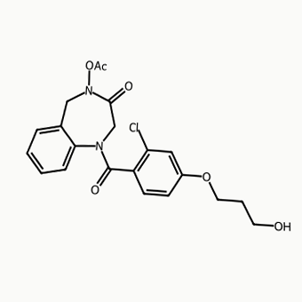 CC(=O)ON1Cc2ccccc2N(C(=O)c2ccc(OCCCO)cc2Cl)CC1=O